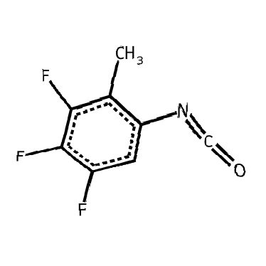 Cc1c(N=C=O)cc(F)c(F)c1F